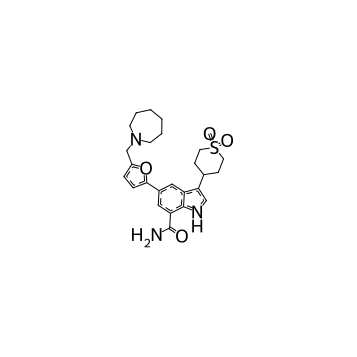 NC(=O)c1cc(-c2ccc(CN3CCCCCC3)o2)cc2c(C3CCS(=O)(=O)CC3)c[nH]c12